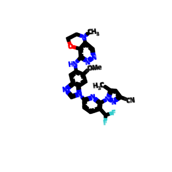 COc1cc2c(cc1Nc1nncc3c1OCCN3C)ncn2-c1ccc(C(F)F)c(-n2nc(C#N)cc2C)n1